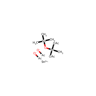 CC(=O)[O-].CC(=O)[O-].CC(=O)[O][Sn]([CH3])([O]C(C)=O)[O][Sn]([CH3])([CH3])[CH3].[Sn+2]